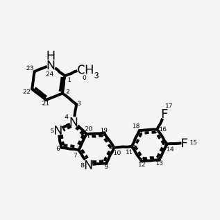 CC1=C(Cn2ncc3ncc(-c4ccc(F)c(F)c4)cc32)C=CCN1